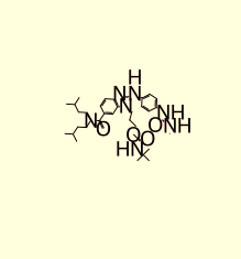 CNC(=O)Nc1ccc(Nc2nc3ccc(C(=O)N(CCC(C)C)CCC(C)C)cc3n2CCCOC(=O)NC(C)(C)C)cc1